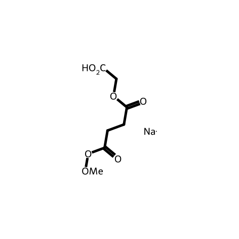 COOC(=O)CCC(=O)OCC(=O)O.[Na]